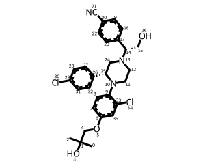 CC(C)(O)COc1ccc(N2CCN([C@@H](CO)c3ccc(C#N)cc3)C[C@H]2c2ccc(Cl)cc2)c(Cl)c1